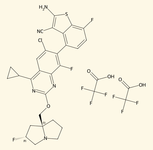 N#Cc1c(N)sc2c(F)ccc(-c3c(Cl)cc4c(C5CC5)nc(OC[C@@]56CCCN5C[C@H](F)C6)nc4c3F)c12.O=C(O)C(F)(F)F.O=C(O)C(F)(F)F